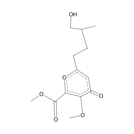 COC(=O)c1oc(CCC(C)CO)cc(=O)c1OC